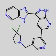 FC1(F)CCN(Cc2cncc(-c3cnc4[nH]nc(-c5nc6ccncc6[nH]5)c4c3)c2)C1